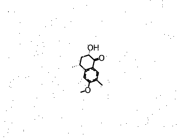 COc1cc2c(cc1C)C(=O)[C@@H](O)C[C@H]2C